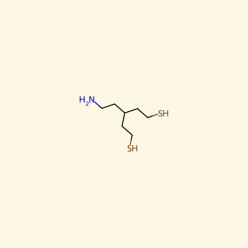 NCCC(CCS)CCS